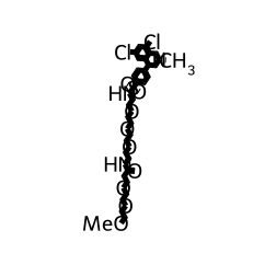 COCCOCCOCCC(=O)NCCOCCOCCOCCNS(=O)(=O)c1ccc(C2CN(C)Cc3c(Cl)cc(Cl)cc32)cc1